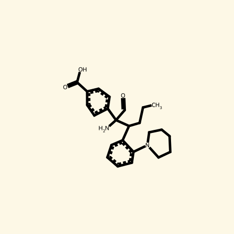 CCCC(c1ccccc1N1CCCCC1)C(N)(C=O)c1ccc(C(=O)O)cc1